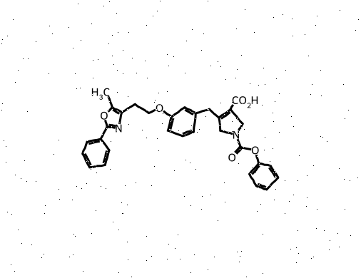 Cc1oc(-c2ccccc2)nc1CCOc1cccc(CC2=C(C(=O)O)CN(C(=O)Oc3ccccc3)C2)c1